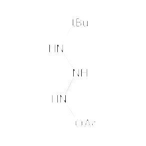 CC(=O)ONNNC(C)(C)C